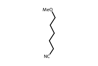 COCCCCCC#N